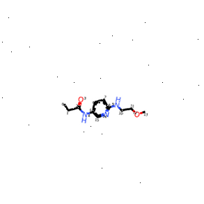 CCC(=O)Nc1ccc(NCCOC)nc1